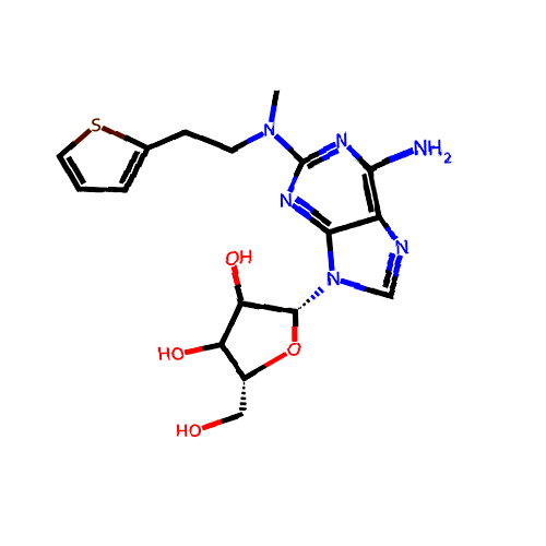 CN(CCc1cccs1)c1nc(N)c2ncn([C@@H]3O[C@H](CO)C(O)C3O)c2n1